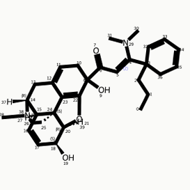 CCCC1(/C(=C/C(=O)C2(O)CC=C3C[C@@H]4[C@@H]5C=C[C@H](O)[C@@H]6OC2=C3[C@]56CCN4C)N(C)C)C=CC=CC1